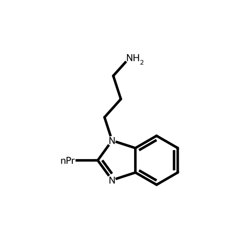 CCCc1nc2ccccc2n1CCCN